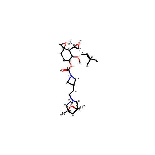 COC1C(OC(=O)N2CC(CCN3C[C@H]4C[C@@H](C3)O4)C2)CCC2(CO2)C1[C@@]1(C)O[C@@H]1CC=C(C)C